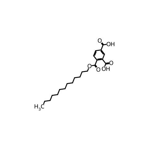 CCCCCCCCCCCCCOC(=O)c1ccc(C(=O)O)cc1C(=O)O